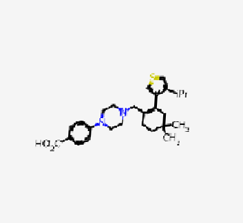 CC(C)c1cscc1C1=C(CN2CCN(c3ccc(C(=O)O)cc3)CC2)CCC(C)(C)C1